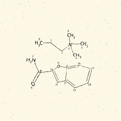 CCC[N+](C)(C)C.NC(=O)c1cc2ccccc2o1